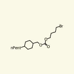 CCCCCC1CCC(COC(=O)OCCCCBr)CC1